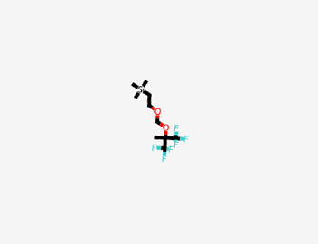 CC(OCOCC[Si](C)(C)C)(C(F)(F)F)C(F)(F)F